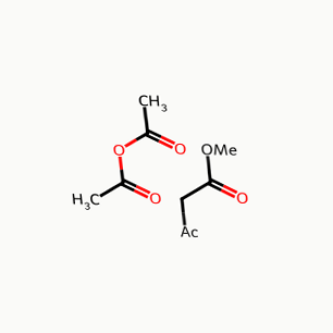 CC(=O)OC(C)=O.COC(=O)CC(C)=O